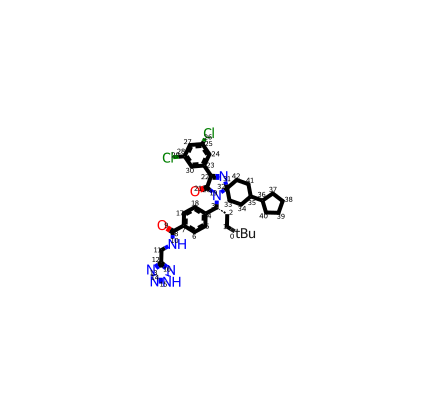 CC(C)(C)CC[C@H](c1ccc(C(=O)NCc2nn[nH]n2)cc1)N1C(=O)C(c2cc(Cl)cc(Cl)c2)=NC12CCC(C1CCCC1)CC2